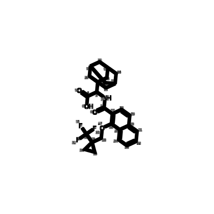 O=C(NC(C(=O)O)C12CC3CC(CC(C3)C1)C2)c1ccc2ccccc2c1OCC1(C(F)(F)F)CC1